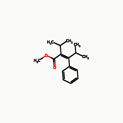 COC(=O)C(=C(c1ccccc1)C(C)C)C(C)C